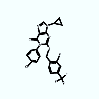 O=c1c2ncn(C3CC3)c2nc(SCc2ccc(C(F)(F)F)cc2F)n1-c1ccc(Cl)cc1